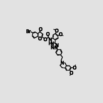 COc1cc2c(cc1OC)CN(CCc1ccc(-n3nnc(-c4cc(OC)c(OC)cc4NC(=O)Oc4cc(=O)c5cc(Br)ccc5o4)n3)cc1)CC2